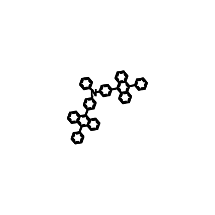 c1ccc(-c2c3ccccc3c(-c3ccc(N(c4ccccc4)c4ccc(-c5c6ccccc6c(-c6ccccc6)c6ccccc56)cc4)cc3)c3ccccc23)cc1